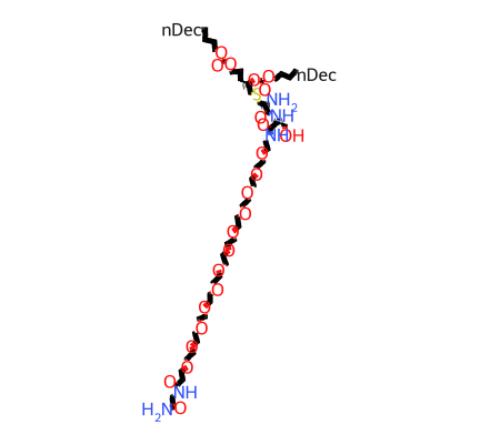 CCCCCCCCCCCCCCOC(=O)OCCC[C@H](CSC[C@H](N)C(=O)N[C@@H](CO)C(=O)NCCOCCOCCOCCOCCOCCOCCOCCOCCOCCOCCOCCOCCC(=O)NCC(N)=O)OC(=O)OCCCCCCCCCCCCCC